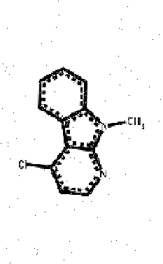 Cn1c2ccccc2c2c(Cl)ccnc21